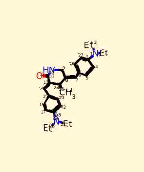 CCN(CC)c1ccc(C=C2CNC(=O)C(=Cc3ccc(N(CC)CC)cc3)C2C)cc1